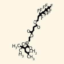 CC(C)CC(C(=O)OCCOC(=O)CCC(=O)OCCC(F)(F)C(F)(F)C(F)(F)C(F)(F)F)C(C)(C)C